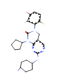 NC1CCC(Nc2ncc3c(n2)N(C2CCCC2)C(=O)N(c2c(F)ccc(O)c2F)C3)CC1